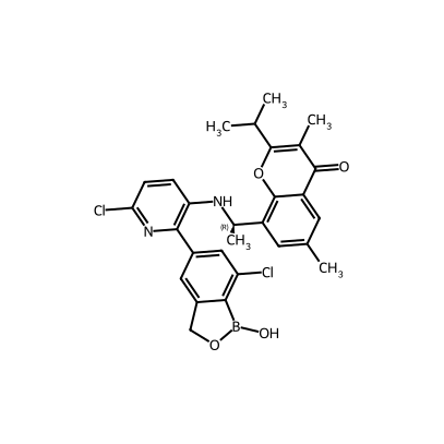 Cc1cc([C@@H](C)Nc2ccc(Cl)nc2-c2cc(Cl)c3c(c2)COB3O)c2oc(C(C)C)c(C)c(=O)c2c1